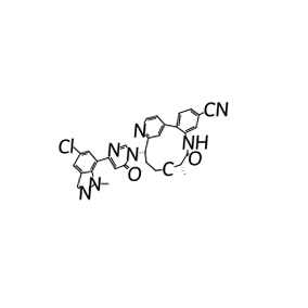 C[C@@H]1CCC[C@H](n2cnc(-c3cc(Cl)cc4cnn(C)c34)cc2=O)c2cc(ccn2)-c2ccc(C#N)cc2NC1=O